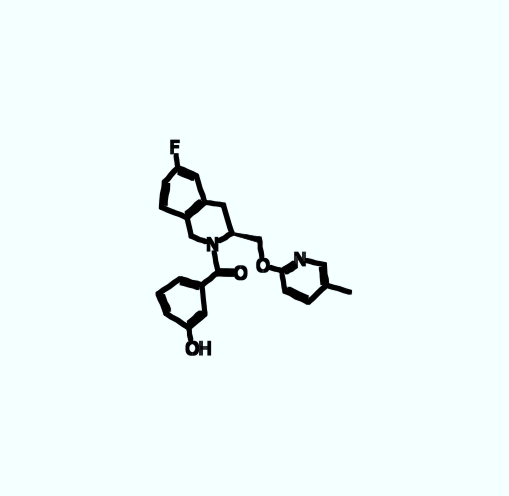 Cc1ccc(OC[C@@H]2Cc3cc(F)ccc3CN2C(=O)c2cccc(O)c2)nc1